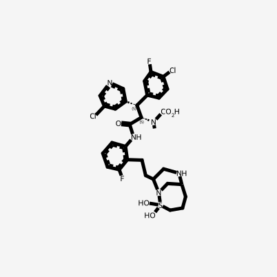 CN(C(=O)O)[C@H](C(=O)Nc1cccc(F)c1CCC1CNC2CCCS(O)(O)N1C2)[C@H](c1cncc(Cl)c1)c1ccc(Cl)c(F)c1